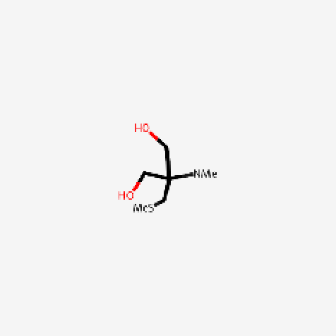 CNC(CO)(CO)CSC